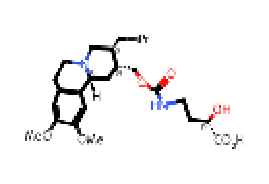 COc1cc2c(cc1OC)[C@H]1C[C@@H](COC(=O)NCC[C@H](O)C(=O)O)[C@H](CC(C)C)CN1CC2